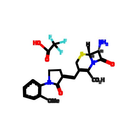 COc1ccccc1N1CCC(=CC2=C(C(=O)O)N3C(=O)[C@@H](N)[C@H]3SC2)C1=O.O=C(O)C(F)(F)F